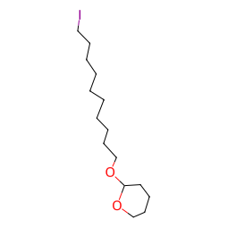 ICCCCCCCCCCOC1CCCCO1